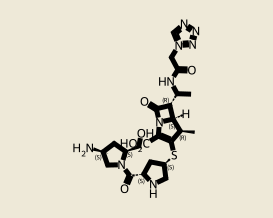 CC(NC(=O)Cn1cnnn1)[C@H]1C(=O)N2C(C(=O)O)=C(S[C@@H]3CN[C@H](C(=O)N4C[C@@H](N)C[C@H]4CO)C3)[C@H](C)[C@H]12